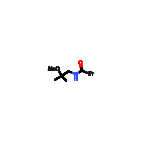 COC(C)(C)CNC(=O)C(C)C